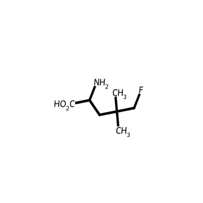 CC(C)(CF)CC(N)C(=O)O